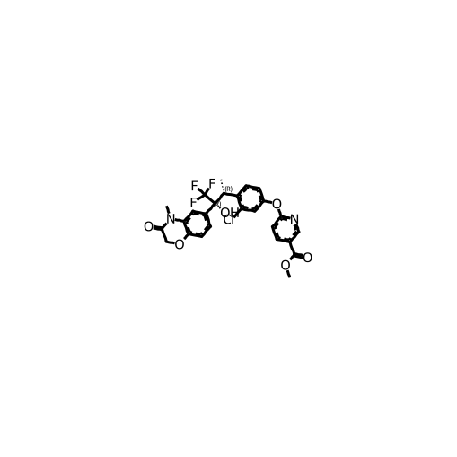 COC(=O)c1ccc(Oc2ccc([C@@H](C)[C@@](O)(c3ccc4c(c3)N(C)C(=O)CO4)C(F)(F)F)c(Cl)c2)nc1